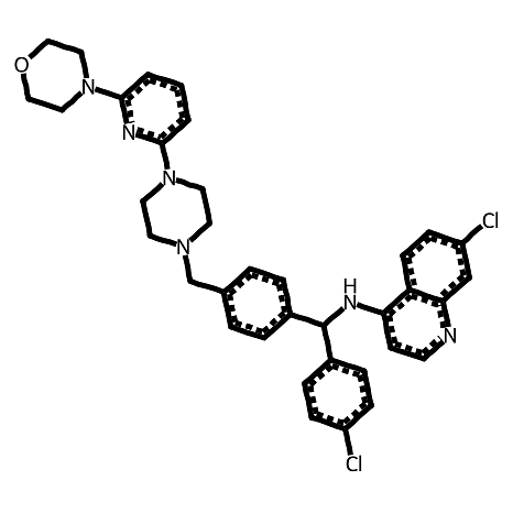 Clc1ccc(C(Nc2ccnc3cc(Cl)ccc23)c2ccc(CN3CCN(c4cccc(N5CCOCC5)n4)CC3)cc2)cc1